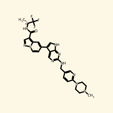 C[C@@H](NC(=O)c1cnn2ccc(-c3c[nH]c4nc(NCc5ccc(N6CCN(C)CC6)nc5)ncc34)cc12)C(F)(F)F